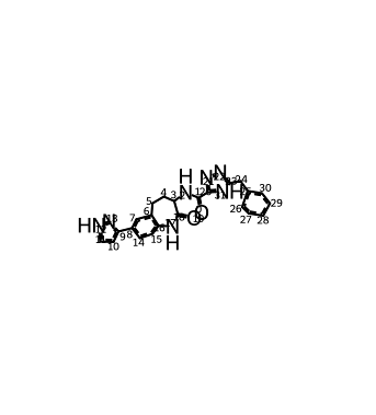 O=C(NC1CCc2cc(-c3cc[nH]n3)ccc2NC1=O)c1nnc(Cc2ccccc2)[nH]1